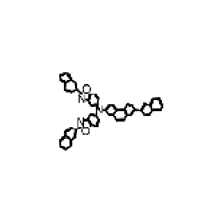 c1ccc2cc(-c3ccc4c(ccc5cc(N(c6ccc7oc(-c8ccc9ccccc9c8)nc7c6)c6ccc7oc(-c8ccc9ccccc9c8)nc7c6)ccc54)c3)ccc2c1